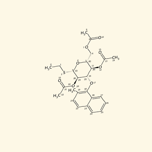 CCS[C@@H]1O[C@H](COC(C)=O)[C@@H](OC(C)=O)[C@H](Oc2c(C)ccc3ccccc23)[C@H]1OC(C)=O